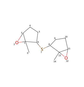 CC12OC1CCC2SC1CCC2OC21C